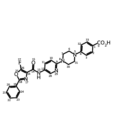 O=C(O)c1ccc(N2CCN(c3ccc(NC(=O)c4nc(-c5ccccc5)oc4F)cn3)CC2)cc1